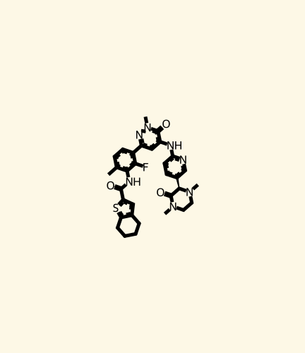 Cc1ccc(-c2cc(Nc3ccc([C@@H]4C(=O)N(C)CCN4C)cn3)c(=O)n(C)n2)c(F)c1NC(=O)c1cc2c(s1)CCCC2